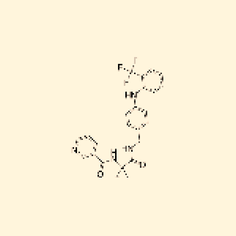 O=C(NC1(C(=O)NCc2ccc(Nc3ccccc3C(F)(F)F)cc2)CC1)c1cccnc1